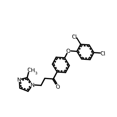 Cc1nccn1CCC(=O)c1ccc(Oc2ccc(Cl)cc2Cl)cc1